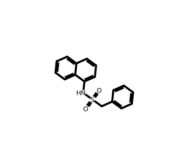 O=S(=O)(Cc1ccccc1)Nc1cccc2ccccc12